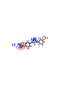 COc1cccc(-n2cc(-c3ccc(OS(N)(=O)=O)cc3)nn2)c1